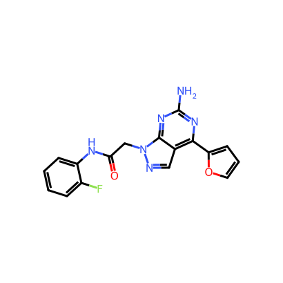 Nc1nc(-c2ccco2)c2cnn(CC(=O)Nc3ccccc3F)c2n1